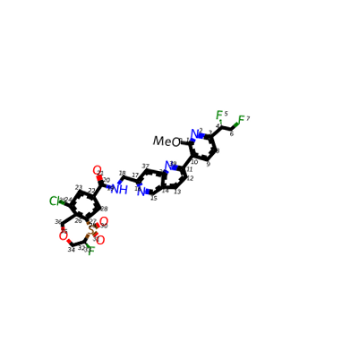 COc1nc([C@H](F)CF)ccc1-c1ccc2cnc(CNC(=O)c3cc(Cl)c4c(c3)S(=O)(=O)[C@@H](F)COC4)cc2n1